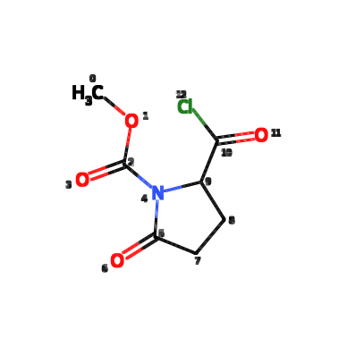 COC(=O)N1C(=O)CCC1C(=O)Cl